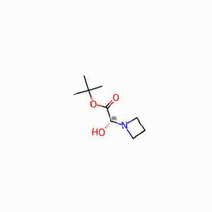 CC(C)(C)OC(=O)[C@@H](O)N1CCC1